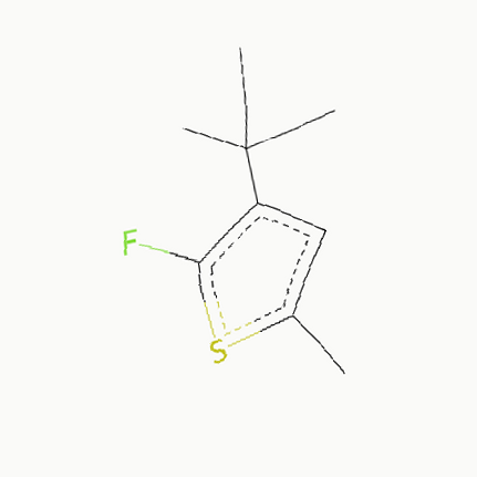 Cc1cc(C(C)(C)C)c(F)s1